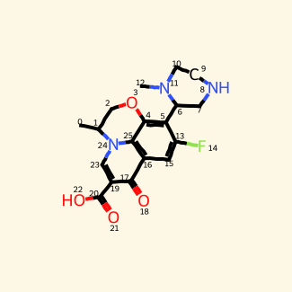 CC1COc2c(C3CNCCN3C)c(F)cc3c(=O)c(C(=O)O)cn1c23